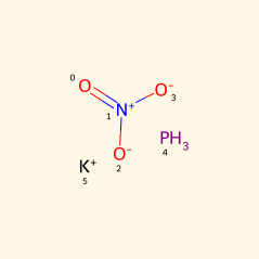 O=[N+]([O-])[O-].P.[K+]